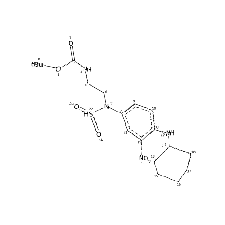 CC(C)(C)OC(=O)NCCN(c1ccc(NC2CCCCC2)c([N+](=O)[O-])c1)[SH](=O)=O